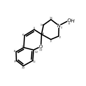 ON1CCC2(C=Cc3c[c]ccc3O2)CC1